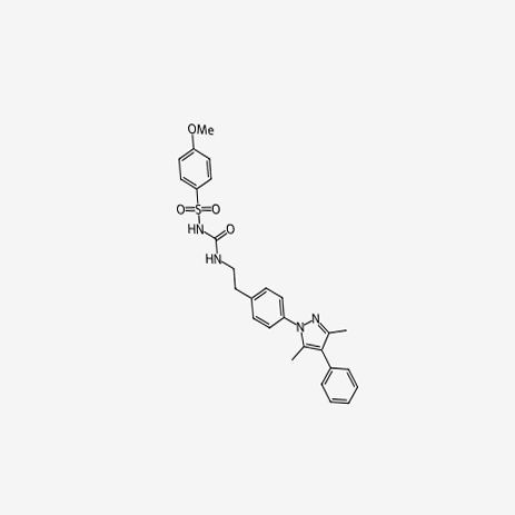 COc1ccc(S(=O)(=O)NC(=O)NCCc2ccc(-n3nc(C)c(-c4ccccc4)c3C)cc2)cc1